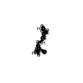 Cn1c(=O)n(C2CCC(=O)NC2=O)c2ccc(C3CCN(CCNC(=O)c4ccc5c(F)c(N6CC(=O)NS6(=O)=O)c(OCc6ccccc6)cc5c4)CC3(F)F)cc21